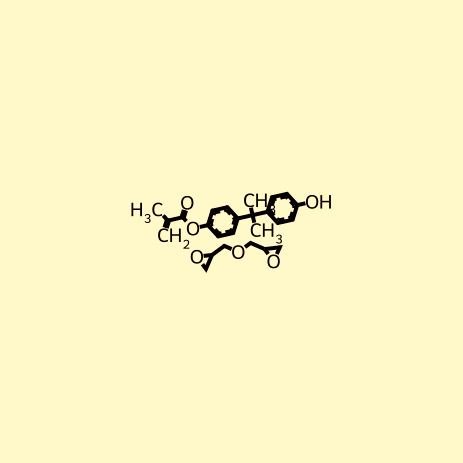 C(OCC1CO1)C1CO1.C=C(C)C(=O)Oc1ccc(C(C)(C)c2ccc(O)cc2)cc1